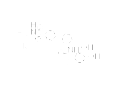 CC[C@H](CO)NS(=O)(=O)c1ccc(-c2cc(NC(=O)C3(c4ccc(O)c(O)c4)CC3)ccc2C)cc1